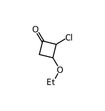 CCOC1CC(=O)C1Cl